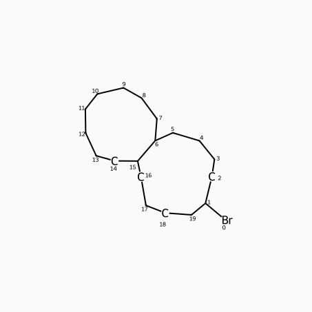 BrC1CCCCC2CCCCCCCCC2CCCC1